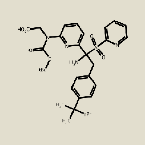 CCCC(C)(C)c1ccc(CC(N)(c2cccc(N(CC(=O)O)C(=O)OC(C)(C)C)n2)S(=O)(=O)c2ccccn2)cc1